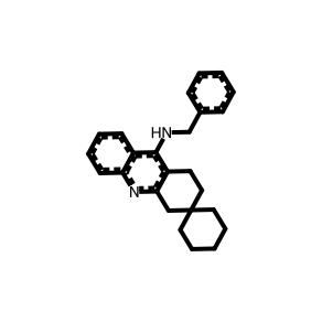 c1ccc(CNc2c3c(nc4ccccc24)CC2(CCCCC2)CC3)cc1